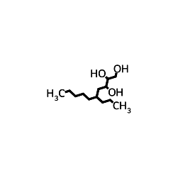 CCCCCC(CCC)CC(O)C(O)CO